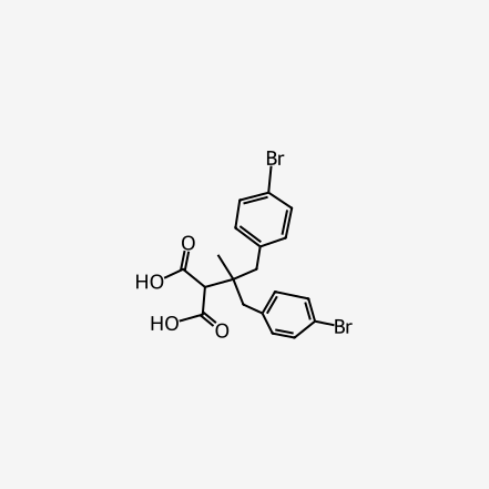 CC(Cc1ccc(Br)cc1)(Cc1ccc(Br)cc1)C(C(=O)O)C(=O)O